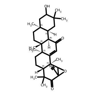 CC1(C)C[C@H]2[C@H]3C(=O)C=C4[C@@]5(C)C6OC6(C#N)C(=O)C(C)(C)[C@@H]5CC[C@@]4(C)[C@]3(C)CC[C@@]2(C)CC1O